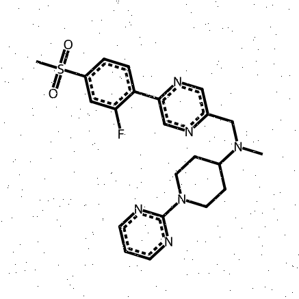 CN(Cc1cnc(-c2ccc(S(C)(=O)=O)cc2F)cn1)C1CCN(c2ncccn2)CC1